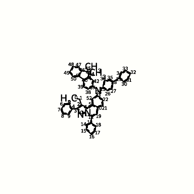 CCc1c(-c2ccccc2)nn2c(-c3ccccc3)cc3ccc(N(c4ccc(-c5ccccc5)cc4)c4ccc5c(c4)C(C)(C)c4ccccc4-5)cc3c12